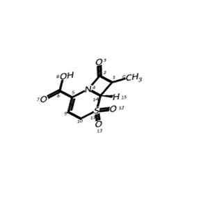 CC1C(=O)N2C(C(=O)O)=CCS(=O)(=O)[C@@H]12